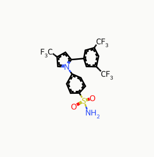 NS(=O)(=O)c1ccc(-n2cc(C(F)(F)F)cc2-c2cc(C(F)(F)F)cc(C(F)(F)F)c2)cc1